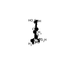 Cc1c(COc2cc(OCc3cncc(C(N)=O)c3)c(CNC(C)(CO)C(=O)O)cc2Cl)cccc1-c1cccc(OCCCN2CCC(CO)(C(=O)O)C2)c1Cl